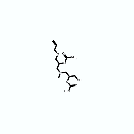 C=CCOCC(CN(C)CC(CO)OC(N)=O)OC(N)=O